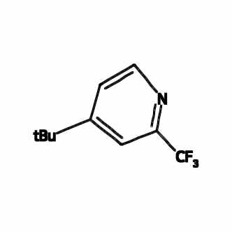 CC(C)(C)c1ccnc(C(F)(F)F)c1